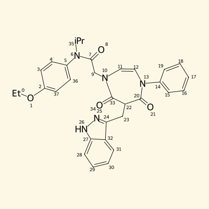 CCOc1ccc(N(C(=O)CN2C=CN(c3ccccc3)C(=O)C(Cc3n[nH]c4ccccc34)C2=O)C(C)C)cc1